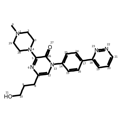 CN1CCN(c2nc(CCCO)cn(-c3ccc(-c4cccnn4)cc3)c2=O)CC1